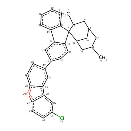 CC1CC2CC(C)C3(c4ccccc4-c4cc(-c5ccc6oc7ccc(Cl)cc7c6c5)ccc43)C(C1)C2